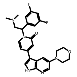 CN(C)CC(c1cc(F)cc(F)c1)n1ccc(-c2c[nH]c3ncc(N4CCOCC4)cc23)cc1=O